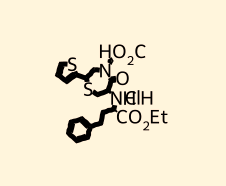 CCOC(=O)[C@H](CCc1ccccc1)N[C@H]1CSC(c2cccs2)CN(CC(=O)O)C1=O.Cl